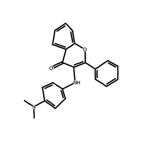 CN(C)c1ccc(Nc2c(-c3ccccc3)oc3ccccc3c2=O)cc1